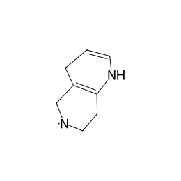 C1=CNC2=C(C1)C[N]CC2